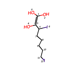 OC(O)=C(O)C(I)CCCCCI